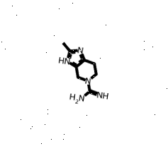 Cc1nc2c([nH]1)CN(C(=N)N)CC2